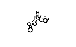 Cc1[nH]nc(-c2ccc(C(=O)N3CCCCC3)s2)c1Cc1ccccc1